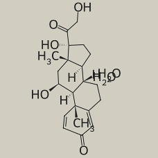 C[C@]12C=CC(=O)C=C1CC[C@@H]1[C@@H]2[C@@H](O)C[C@@]2(C)[C@H]1CC[C@]2(O)C(=O)CO.O.O